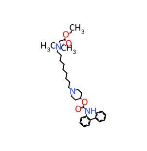 CCOC(=O)C[N+](C)(C)CCCCCCCCCN1CCC(OC(=O)Nc2ccccc2-c2ccccc2)CC1